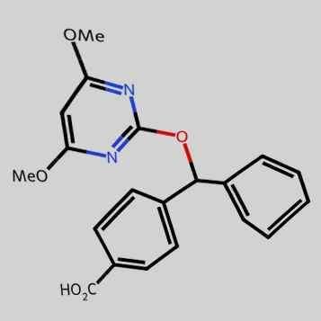 COc1cc(OC)nc(OC(c2ccccc2)c2ccc(C(=O)O)cc2)n1